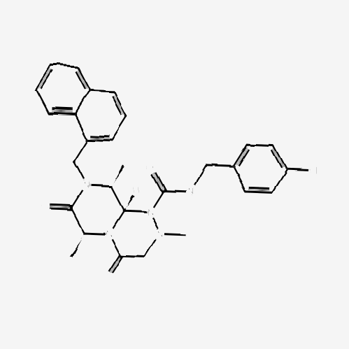 C[C@H]1[C@H]2N(C(=O)CN(C)N2C(=O)NCc2ccc(Cl)cc2)[C@@H](C)C(=O)N1Cc1cccc2ccccc12